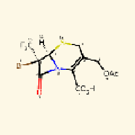 CC(=O)OCC1=C(C(=O)O)N2C(=O)[C@](Br)(C(F)(F)F)[C@H]2SC1